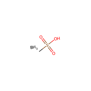 B.CS(=O)(=O)O